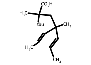 CC=CC(C)(C=CC)CC(C)(C(=O)O)C(C)(C)C